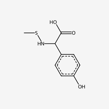 CSNC(C(=O)O)c1ccc(O)cc1